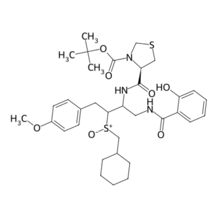 COc1ccc(CC(C(CNC(=O)c2ccccc2O)NC(=O)[C@@H]2CSCN2C(=O)OC(C)(C)C)[S+]([O-])CC2CCCCC2)cc1